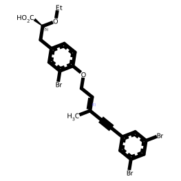 CCO[C@@H](Cc1ccc(OC/C=C(\C)C#Cc2cc(Br)cc(Br)c2)c(Br)c1)C(=O)O